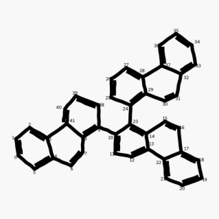 c1ccc2c(c1)ccc1c(-c3ccc4c(ccc5ccccc54)c3-c3cccc4c3ccc3ccccc34)cccc12